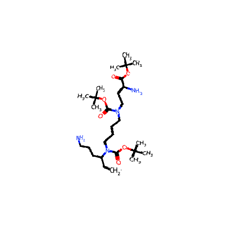 [CH2]CC(CCCN)N(CCCCN(CCC(N)C(=O)OC(C)(C)C)C(=O)OC(C)(C)C)C(=O)OC(C)(C)C